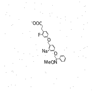 CO/N=C(\COc1ccc(COc2ccc(CCC(=O)[O-])c(F)c2)cc1)c1ccccc1.[Na+]